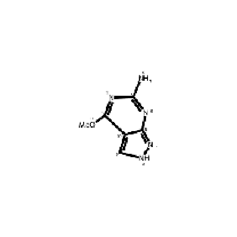 COc1nc(N)nc2n[nH]cc12